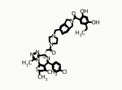 CCc1cc(C(=O)N2Cc3ccc(CN4CCN(C(=O)C[C@@H]5N=C(c6ccc(Cl)cc6)c6c(sc(C)c6C)-n6c(C)nnc65)CC4)cc3C2)c(O)cc1O